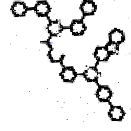 C=C(/C=C\C=C(/C)c1nc(-c2cccc(-c3ccccc3)c2)nc(-c2cccc(-c3ccccc3)c2)n1)c1cccc(-c2cc(-c3ccc(-c4ccccc4)cc3)nc(-c3ccc4c(c3)oc3ccccc34)n2)c1